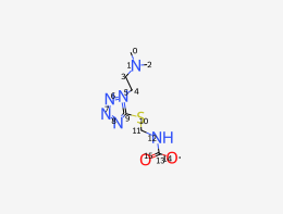 CN(C)CCn1nnnc1SCNC([O])=O